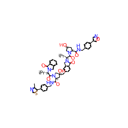 Cc1ncsc1-c1ccc(CNC(=O)[C@@H]2C[C@](O)(Cc3ccc4c(c3)CN([C@H](C(=O)N3C[C@H](O)C[C@H]3C(=O)NCc3ccc(-c5cnoc5)cc3)C(C)C)C4=O)CN2C(=O)[C@H](C(C)C)N2Cc3ccccc3C2=O)cc1